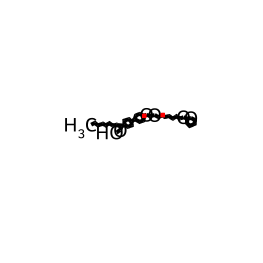 CCCCCCCCC(OO)C1CCC(C2CCC(OCOCCCCCCCOC3CCCCO3)CC2)CC1